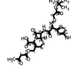 CC(=O)CC(=O)OCC1=C(C(=O)O)N2C(=O)C(NC(=O)C(=NOCC(=O)OC(C)(C)C)c3nsc(N)n3)[C@@H]2SC1